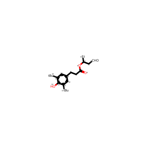 CCC(CC=O)OC(=O)CCc1cc(C(C)(C)C)c(O)c(C(C)(C)C)c1